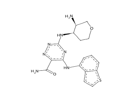 NC(=O)c1nnc(N[C@@H]2CCOC[C@@H]2N)nc1Nc1cccc2sccc12